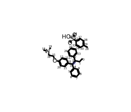 CC/C(=C(\c1ccccc1)c1ccc(OCCN(C)C)cc1)c1ccccc1.Cc1ccc(S(=O)(=O)O)cc1